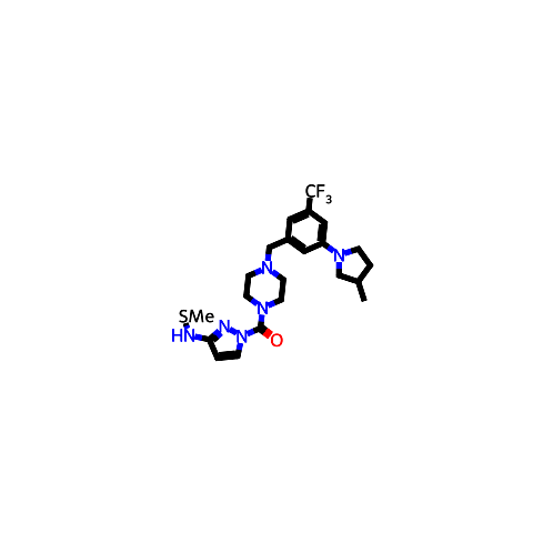 CSNc1ccn(C(=O)N2CCN(Cc3cc(N4CCC(C)C4)cc(C(F)(F)F)c3)CC2)n1